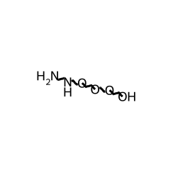 NCCNCCOCCOCCOCCO